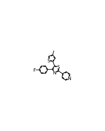 Cc1csc(-c2sc(-c3ccncc3)nc2-c2ccc(F)cc2)c1